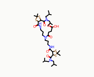 CC(C)CN(CC(C)C)C(=O)C1SC(C)(C)SC1C(=O)NCCCN(CCCNC(=O)C1SC(C)(C)SC1C(=O)N(CC(C)C)CC(C)C)C(=O)CCC(=O)O